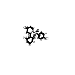 O=C1C=CN(S(=O)(=O)c2ccc(Cl)cc2)C(c2c(F)cccc2Br)C1